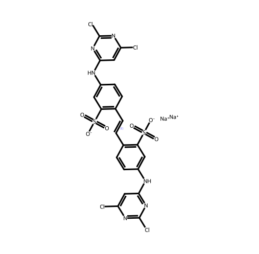 O=S(=O)([O-])c1cc(Nc2cc(Cl)nc(Cl)n2)ccc1/C=C/c1ccc(Nc2cc(Cl)nc(Cl)n2)cc1S(=O)(=O)[O-].[Na+].[Na+]